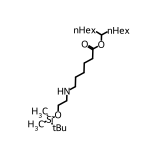 CCCCCCC(CCCCCC)OC(=O)CCCCCNCCO[Si](C)(C)C(C)(C)C